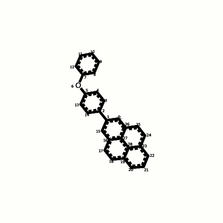 [c]1c(-c2ccc(Oc3ccccc3)cc2)cc2ccc3cccc4ccc1c2c43